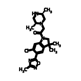 Cc1noc(-c2cc3c(cc2Cl)N(C(=O)CN2C[C@@H](C)NC[C@@H]2C)CC3(C)C)n1